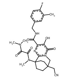 Cc1cc(CNC(=O)c2nc3n(c(=O)c2O)CC2(CC#N)CCC3(N(C)C(=O)C(=O)N(C)C)CC2)ccc1F